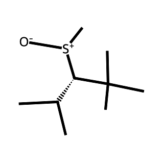 CC(C)[C@H]([S+](C)[O-])C(C)(C)C